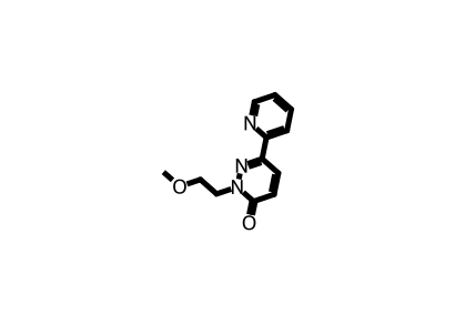 COCCn1nc(-c2ccccn2)ccc1=O